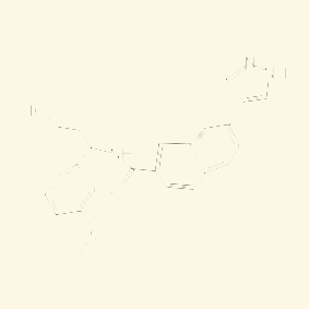 COc1cccc(C(CCO)NC(=O)c2ccc3ccc(-c4cn[nH]c4)cc3c2)c1